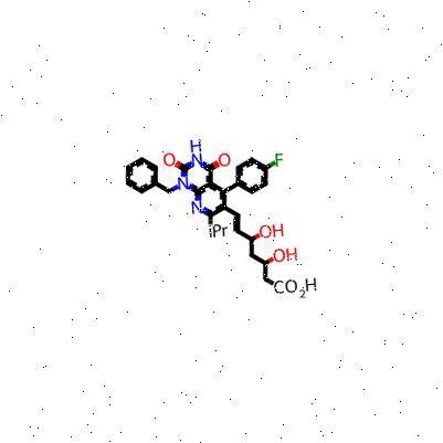 CC(C)c1nc2c(c(-c3ccc(F)cc3)c1C=CC(O)CC(O)CC(=O)O)c(=O)[nH]c(=O)n2Cc1ccccc1